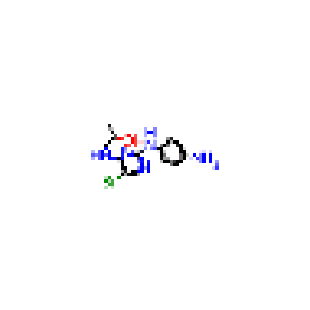 C[C@@H](O)[C@@H](C)Nc1nc(Nc2ccc(N)cc2)ncc1Br